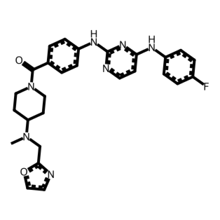 CN(Cc1ncco1)C1CCN(C(=O)c2ccc(Nc3nccc(Nc4ccc(F)cc4)n3)cc2)CC1